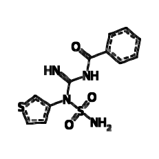 N=C(NC(=O)c1ccccc1)N(c1ccsc1)S(N)(=O)=O